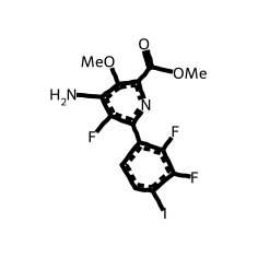 COC(=O)c1nc(-c2ccc(I)c(F)c2F)c(F)c(N)c1OC